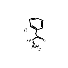 NNC(=O)c1ccccc1.[C]